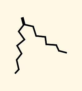 C=C(CCCCCCC)CCCCCCC